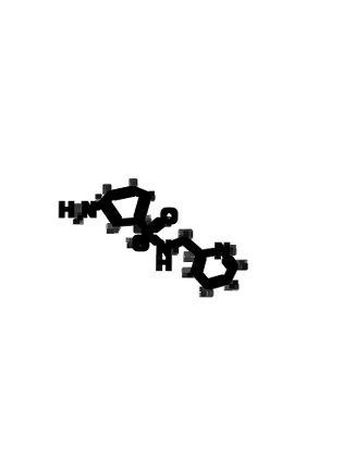 Nc1cccc(S(=O)(=O)NCc2ccccn2)c1